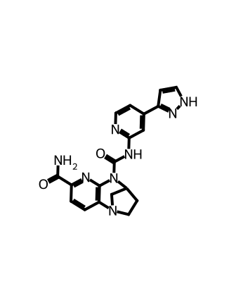 NC(=O)c1ccc2c(n1)N(C(=O)Nc1cc(-c3cc[nH]n3)ccn1)C1CCN2C1